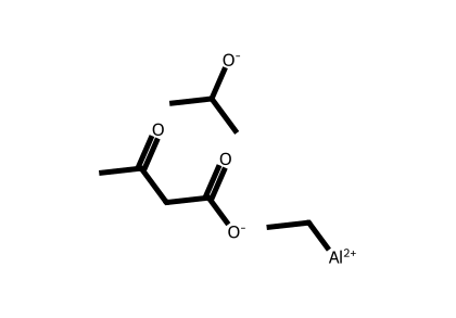 CC(=O)CC(=O)[O-].CC(C)[O-].C[CH2][Al+2]